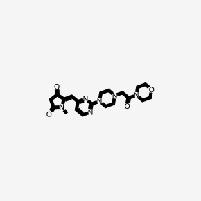 CN1C(=O)CC(=O)/C1=C/c1ccnc(N2CCN(CC(=O)N3CCOCC3)CC2)n1